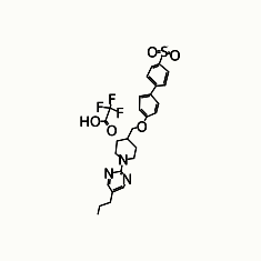 CCCc1cnc(N2CCC(COc3ccc(-c4ccc(S(C)(=O)=O)cc4)cc3)CC2)nc1.O=C(O)C(F)(F)F